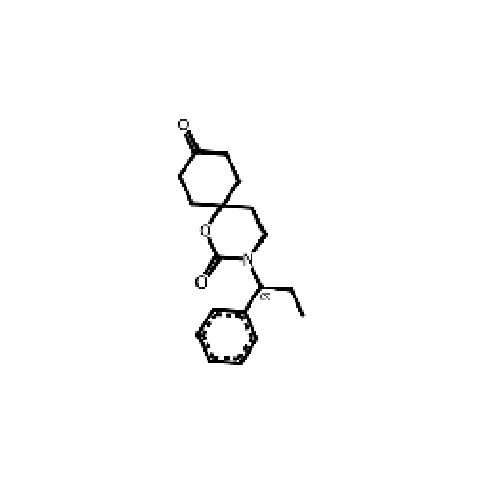 CC[C@@H](c1ccccc1)N1CCC2(CCC(=O)CC2)OC1=O